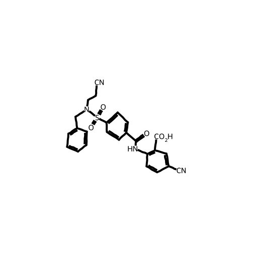 N#CCCN(Cc1ccccc1)S(=O)(=O)c1ccc(C(=O)Nc2ccc(C#N)cc2C(=O)O)cc1